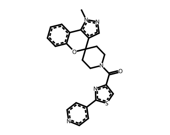 Cn1ncc2c1-c1ccccc1OC21CCN(C(=O)c2csc(-c3ccncc3)n2)CC1